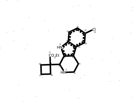 CCOC(=O)C1(C2NCCc3c2[nH]c2ccc(Cl)cc32)CCC1